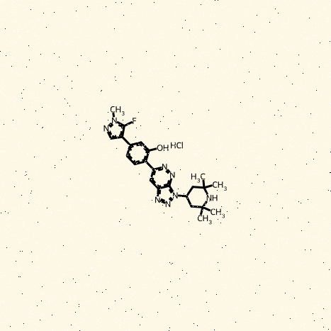 Cl.Cn1ncc(-c2ccc(-c3cc4nnn(C5CC(C)(C)NC(C)(C)C5)c4nn3)c(O)c2)c1F